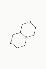 C1CP2CCOCC2CO1